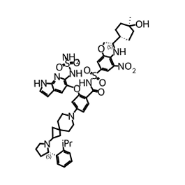 CC(C)c1ccccc1[C@@H]1CCCN1C1CC2(CCN(c3ccc(C(=O)NS(=O)(=O)c4cc5c(c([N+](=O)[O-])c4)N[C@@H]([C@H]4CC[C@](C)(O)CC4)CO5)c(Oc4cc5cc[nH]c5nc4NS(N)(=O)=O)c3)CC2)C1